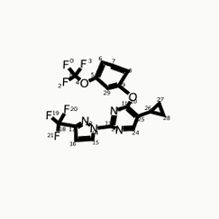 FC(F)(F)Oc1cccc(Oc2nc(-n3ccc(C(F)(F)F)n3)ncc2C2CC2)c1